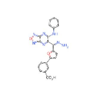 NN=C(c1ccc(-c2cccc(C(=O)O)c2)o1)c1nc2nonc2nc1Nc1ccccc1